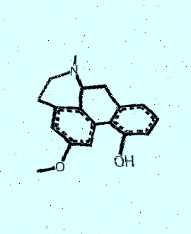 COc1cc2c3c(c1)-c1c(O)cccc1CC3N(C)CC2